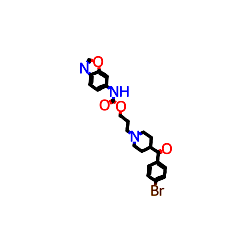 O=C(Nc1ccc2ncoc2c1)OCCCN1CCC(C(=O)c2ccc(Br)cc2)CC1